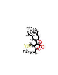 CCCCCCCCCCCCCCOC([O])(OCCCCCCCCCCCC)C(CCS)CCCCCCCCCCCCCC